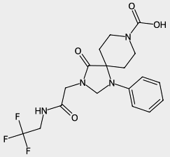 O=C(CN1CN(c2ccccc2)C2(CCN(C(=O)O)CC2)C1=O)NCC(F)(F)F